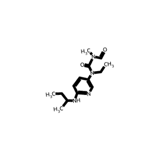 CCC(C)Nc1ccc(N(CC)C(=O)N(C)C=O)cn1